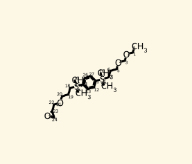 CCOCOCCCS(C)(C)c1ccc(S(C)(C)CCCOCC2CO2)cc1